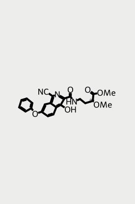 COC(=O)[C@H](CCNC(=O)c1nc(C#N)c2cc(Oc3ccccc3)ccc2c1O)OC